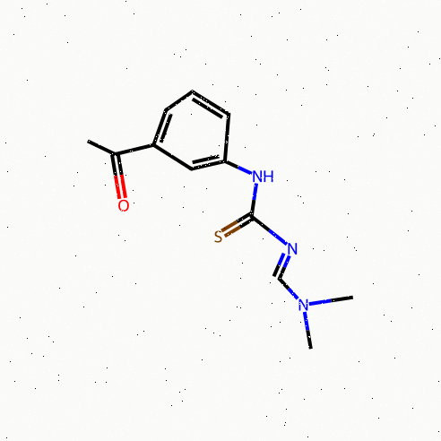 CC(=O)c1cccc(NC(=S)/N=C/N(C)C)c1